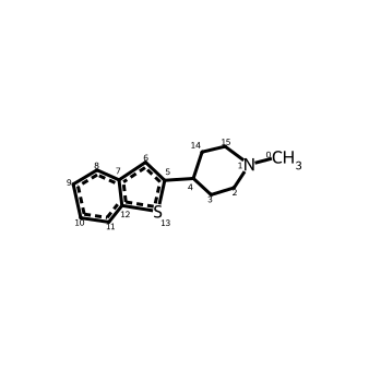 CN1CCC(c2cc3ccccc3s2)CC1